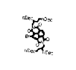 CCCCCCCCCCCCC(CCCCCCCCCC)CN1C(=O)c2ccc3c4c(c(Br)cc(c24)C1=O)C(=O)N(CC(CCCCCCCCCC)CCCCCCCCCCCC)C3=O